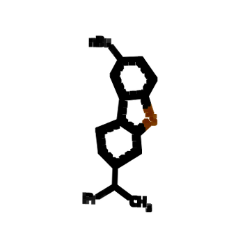 CCCCc1ccc2sc3cc(C(C)C(C)C)ccc3c2c1